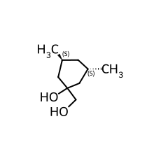 C[C@H]1C[C@H](C)CC(O)(CO)C1